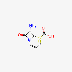 NC1C(=O)N2C=CC[SH](C(=O)O)C12